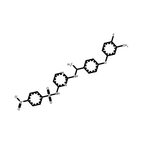 Cc1cc(Oc2ccc(C(C)Nc3nccc(NS(=O)(=O)c4ccc([N+](=O)[O-])cc4)n3)cc2)ccc1F